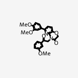 COc1cccc(C(=O)CN2C(=O)COc3ccc(-c4ccc(OC)c(OC)c4)nc32)c1